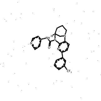 O=C(Nc1ccncc1)N1c2nc(-c3cccc(C(F)(F)F)c3)ccc2N2CCC[C@@H]1C2